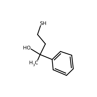 CC(O)(CCS)c1ccccc1